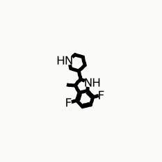 CC1c2c(F)ccc(F)c2NC1C1CCCNC1